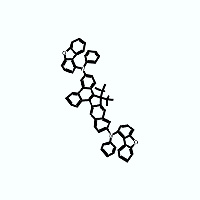 CC(C)(C)C1(C(C)(C)C)c2cc3cc(N(c4ccccc4)c4cccc5oc6ccccc6c45)ccc3cc2-c2c1c1ccc(N(c3ccccc3)c3cccc4oc5ccccc5c34)cc1c1ccccc21